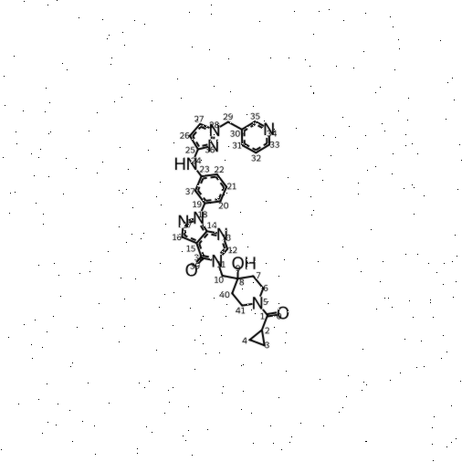 O=C(C1CC1)N1CCC(O)(Cn2cnc3c(cnn3-c3cccc(Nc4ccn(Cc5cccnc5)n4)c3)c2=O)CC1